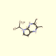 CCC(C(=O)O)n1ccc2nc(C)c(C)nc21